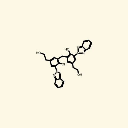 OCCc1cc(Cc2cc(CCO)cc(-n3nc4ccccc4n3)c2O)c(O)c(-n2nc3ccccc3n2)c1